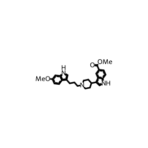 COC(=O)c1ccc2[nH]cc(C3CCN(CCCc4c[nH]c5cc(OC)ccc45)CC3)c2c1